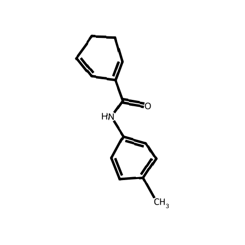 Cc1ccc(NC(=O)C2=CCCC=C2)cc1